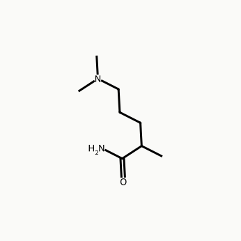 CC(CCCN(C)C)C(N)=O